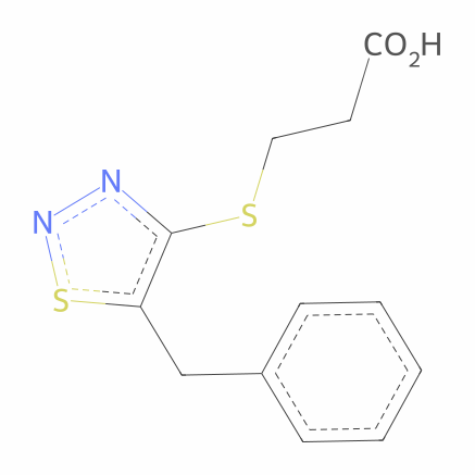 O=C(O)CCSc1nnsc1Cc1ccccc1